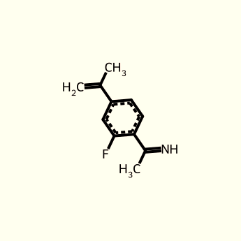 C=C(C)c1ccc(C(C)=N)c(F)c1